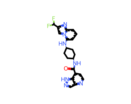 O=C(N[C@H]1CC[C@@H](Nc2cccc3nc(C(F)F)cn23)CC1)c1ccnc2cn[nH]c12